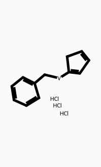 C1=CC[C]([V][CH2]c2ccccc2)=C1.Cl.Cl.Cl